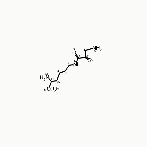 NCC(=S)C(=O)NCCCCC(N)C(=O)O